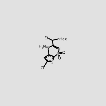 CCCCCCC(CC)C1=NS(=O)(=O)c2sc(Cl)cc2N1N